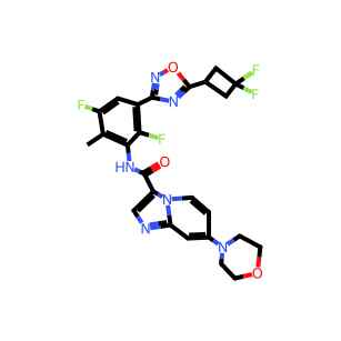 Cc1c(F)cc(-c2noc(C3CC(F)(F)C3)n2)c(F)c1NC(=O)c1cnc2cc(N3CCOCC3)ccn12